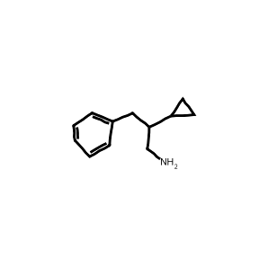 NCC(Cc1ccccc1)C1CC1